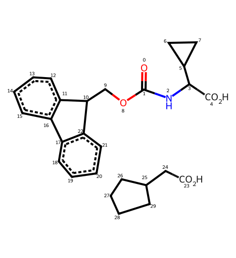 O=C(NC(C(=O)O)C1CC1)OCC1c2ccccc2-c2ccccc21.O=C(O)CC1CCCC1